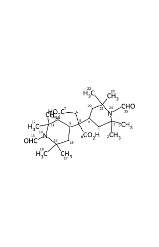 CC1(C)CC(C(CC(=O)O)(C(=O)O)C2CC(C)(C)N(C=O)C(C)(C)C2)CC(C)(C)N1C=O